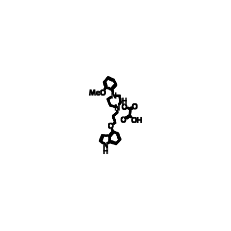 COc1ccccc1N1CCN(CCCOc2cccc3[nH]ccc23)CC1.O=C(O)C(=O)O